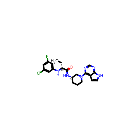 CC[C@@H](Nc1cc(F)cc(Cl)c1)C(=O)N[C@@H]1CCCN(c2ncnc3[nH]ccc23)C1